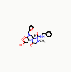 CN1CC(=O)N2[C@@H](CC(=O)O)C(=O)N(Cc3ccco3)C[C@@H]2N1C(=O)NCc1ccccc1